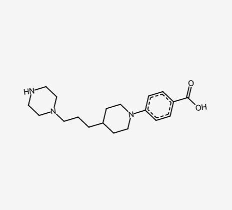 O=C(O)c1ccc(N2CCC(CCCN3CCNCC3)CC2)cc1